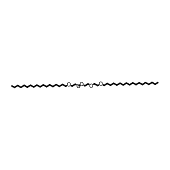 CCCCCCCCCCCCCCCCCCOCCOCCOOCCOCCCCCCCCCCCCCCCCCC